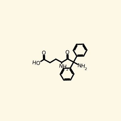 NC(CCC(=O)O)C(=O)C(N)(c1ccccc1)c1ccccc1